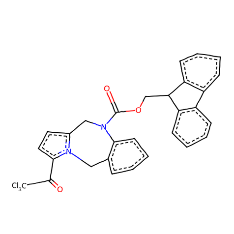 O=C(OCC1c2ccccc2-c2ccccc21)N1Cc2ccc(C(=O)C(Cl)(Cl)Cl)n2Cc2ccccc21